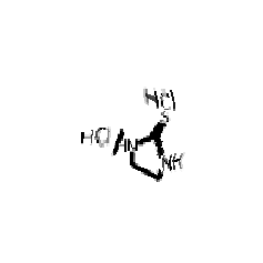 CC.Cl.Cl.S=C1NCCN1